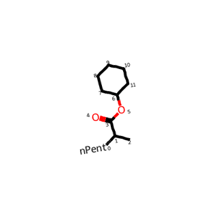 CCCCCC(C)C(=O)OC1CCCCC1